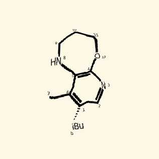 CC[C@@H](C)c1cnc2c(c1C)NCCCO2